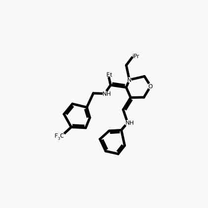 CC/C(NCc1ccc(C(F)(F)F)cc1)=C1/C(=C/Nc2ccccc2)COCN1CC(C)C